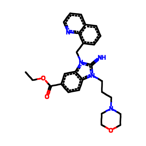 CCOC(=O)c1ccc2c(c1)n(Cc1cccc3cccnc13)c(=N)n2CCCN1CCOCC1